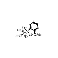 CCS(CC)(c1ccccc1OC)P(=O)(O)O